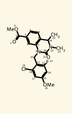 COC(=O)c1ccc2c(c1)N(Cc1c(F)cc(OC)cc1Cl)C(=O)N(C)C2C